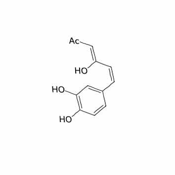 CC(=O)/C=C(O)/C=C\c1ccc(O)c(O)c1